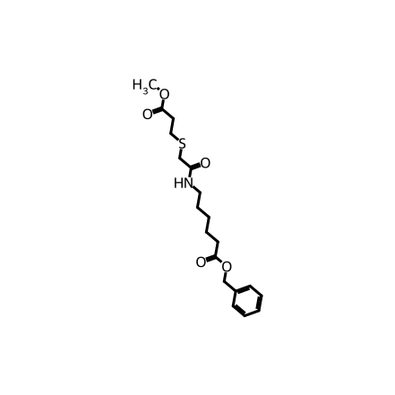 COC(=O)CCSCC(=O)NCCCCCC(=O)OCc1ccccc1